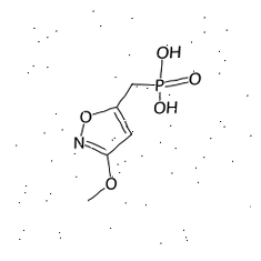 COc1cc(CP(=O)(O)O)on1